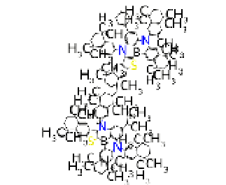 CCC(C)c1cc2c3c(c1)N(c1ccc4c(c1)C(C)(C)C(CC1(C)CCC(C)(C)c5cc6c7c(sc6cc51)B1c5cc6c(cc5N(c5cc8c(cc5C)C(C)(C)CCC8(C)C)c5cc(C8CCCCC8)cc(c51)N7c1ccc5c(c1)C(C)(C)CCC5(C)C)C(C)(C)CCC6(C)C)CC4(C)C)c1c(sc4cc5c(cc14)C(C)(C)CCC5(C)C)B3c1cc3c(cc1N2c1cc2c(cc1C)C(C)(C)CCC2(C)C)C(C)(C)CCC3(C)C